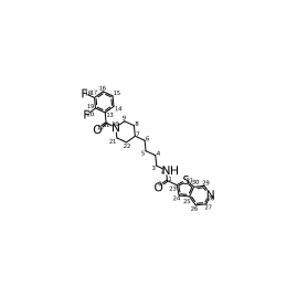 O=C(NCCCCC1CCN(C(=O)c2cccc(F)c2F)CC1)c1cc2ccncc2s1